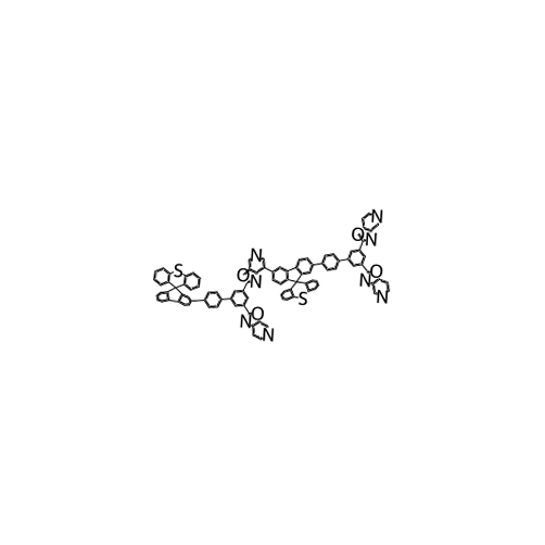 c1ccc2c(c1)Sc1ccccc1C21c2ccccc2-c2ccc(-c3ccc(-c4cc(-c5nc6ccncc6o5)cc(-c5nc6c(-c7ccc8c(c7)-c7ccc(-c9ccc(-c%10cc(-c%11nc%12cnccc%12o%11)cc(-c%11nc%12cnccc%12o%11)c%10)cc9)cc7C87c8ccccc8Sc8ccccc87)cncc6o5)c4)cc3)cc21